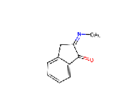 CC(=O)O/N=C1/Cc2ccccc2C1=O